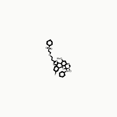 COc1cc2c(cc1-c1csc(CCOCCS(=O)(=O)c3ccccc3)n1)C(Nc1ccccc1)(OCc1cccc(F)c1)N(Cl)C=N2